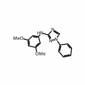 COc1cc(Nc2ncn(-c3ccccc3)n2)cc(OC)c1